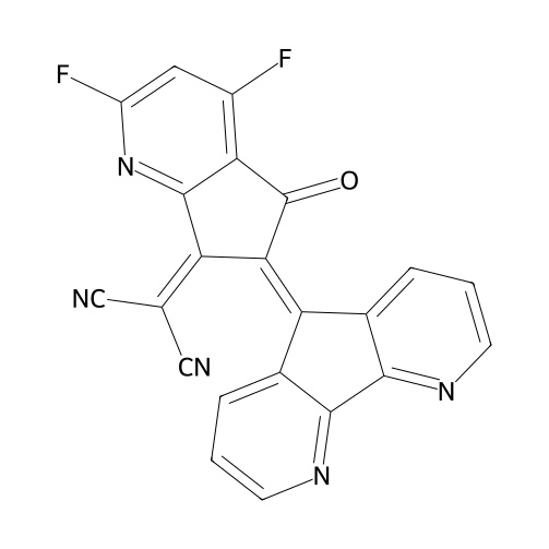 N#CC(C#N)=C1C(=C2c3cccnc3-c3ncccc32)C(=O)c2c(F)cc(F)nc21